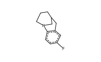 Fc1ccc2c(c1)CC1CCCN2C1